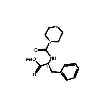 COC(=O)[C@H](Cc1ccccc1)NC(=O)N1CCSCC1